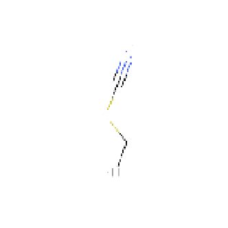 [2H]CSC#N